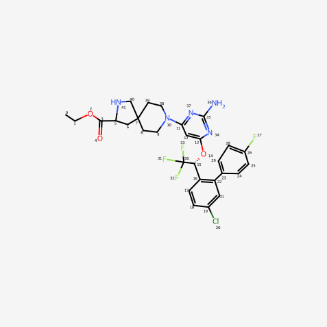 CCOC(=O)C1CC2(CCN(c3cc(O[C@H](c4ccc(Cl)cc4-c4ccc(F)cc4)C(F)(F)F)nc(N)n3)CC2)CN1